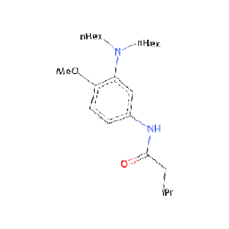 CCCCCCN(CCCCCC)c1cc(NC(=O)CC(C)C)ccc1OC